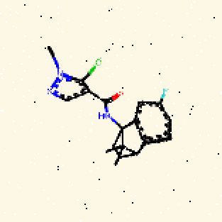 Cn1ncc(C(=O)NC23CCC(c4ccc(F)cc42)C3(C)C)c1Cl